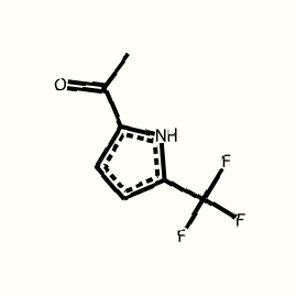 CC(=O)c1ccc(C(F)(F)F)[nH]1